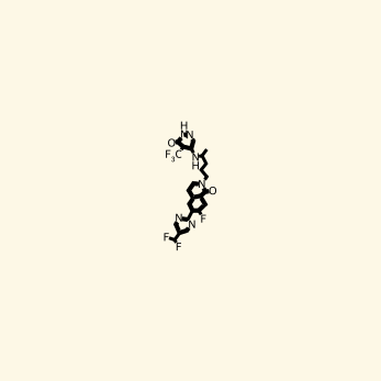 CC(CCCn1ccc2cc(-c3ncc(C(F)F)cn3)c(F)cc2c1=O)Nc1cn[nH]c(=O)c1C(F)(F)F